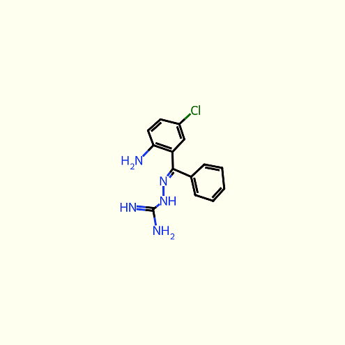 N=C(N)N/N=C(\c1ccccc1)c1cc(Cl)ccc1N